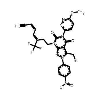 C#C/C=C\C=C(/CCn1c(=O)n(-c2ccc(OC)nn2)c(=O)c2c(CBr)n(-c3ccc([N+](=O)[O-])cc3)nc21)C(F)(F)F